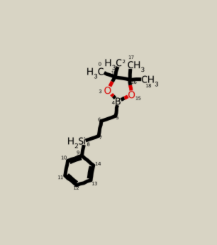 CC1(C)OB(CCC[SiH2]c2ccccc2)OC1(C)C